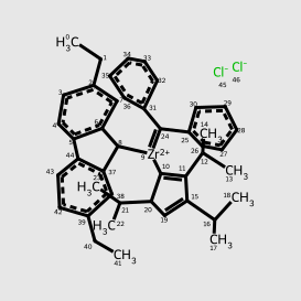 CCc1ccc2c(c1)[CH]([Zr+2]([C]1=C(C(C)C)C(C(C)C)=CC1C(C)C)=[C](c1ccccc1)c1ccccc1)c1cc(CC)ccc1-2.[Cl-].[Cl-]